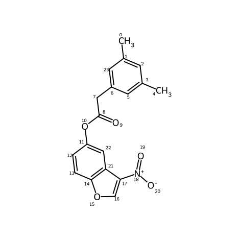 Cc1cc(C)cc(CC(=O)Oc2ccc3occ([N+](=O)[O-])c3c2)c1